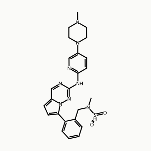 CN1CCN(c2ccc(Nc3ncc4ccc(-c5ccccc5CN(C)[SH](=O)=O)n4n3)nc2)CC1